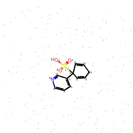 O=S(=O)(O)C1(c2cccnc2)C=CCC=C1